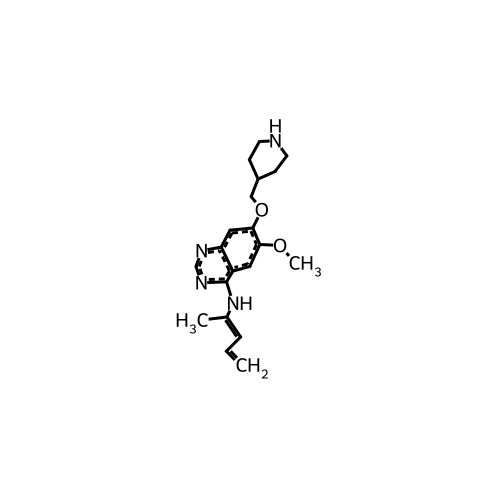 C=C/C=C(\C)Nc1ncnc2cc(OCC3CCNCC3)c(OC)cc12